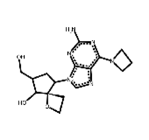 Nc1nc(N2CCC2)c2ncn(C3CC(CO)C(O)[C@]34CCO4)c2n1